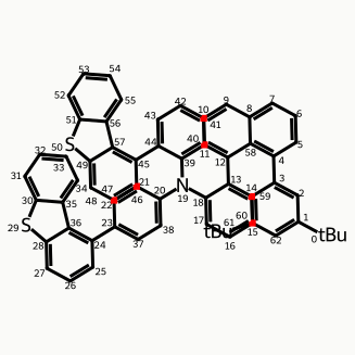 CC(C)(C)c1cc(-c2cccc3cccc(-c4ccccc4N(c4ccc(-c5cccc6sc7ccccc7c56)cc4)c4ccccc4-c4cccc5sc6ccccc6c45)c23)cc(C(C)(C)C)c1